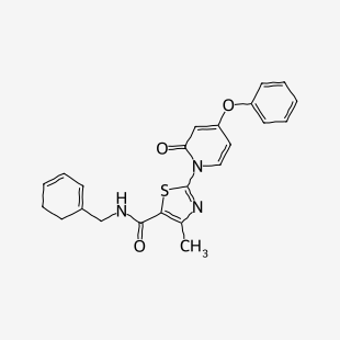 Cc1nc(-n2ccc(Oc3ccccc3)cc2=O)sc1C(=O)NCC1=CC=CCC1